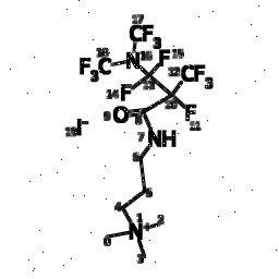 C[N+](C)(C)CCCNC(=O)C(F)(C(F)(F)F)C(F)(F)N(C(F)(F)F)C(F)(F)F.[I-]